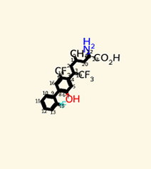 CC(CC(c1cc(O)c(-c2ccccc2F)cc1C(F)(F)F)C(F)(F)F)C[C@H](N)C(=O)O